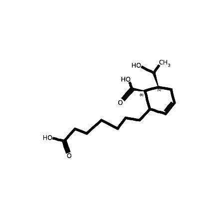 CC(O)[C@H]1CC=CC(CCCCCCC(=O)O)[C@H]1C(=O)O